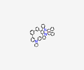 c1ccc(N(c2ccccc2)c2cccc(-c3cccc(-c4cccc(-c5cc6c7ccccc7n(-c7ccc8ccccc8c7)c6c6c5c5ccccc5n6-c5ccc6ccccc6c5)c4)c3)c2)cc1